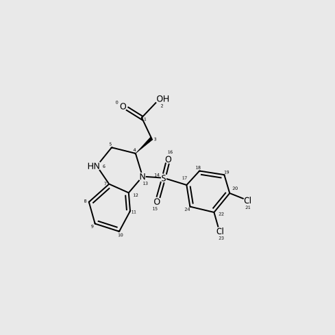 O=C(O)C[C@@H]1CNc2ccccc2N1S(=O)(=O)c1ccc(Cl)c(Cl)c1